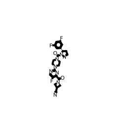 N#CC1CN(C(=O)c2nc(N3CCN(C(=O)N4N=CC[C@H]4c4cc(F)cc(F)c4)CC3)ncc2F)C1